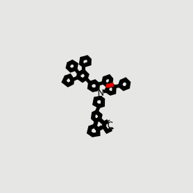 c1ccc(-c2ccc(N(c3ccc(-c4ccc5c6ccccc6c6ccccc6c5c4)cc3)c3ccc(-c4cc(-c5ccccc5)c(-c5ccccc5)c(-c5ccccc5)c4)cc3-c3ccccc3)cc2)cc1